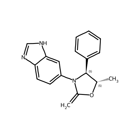 C=C1O[C@@H](C)[C@H](c2ccccc2)N1c1ccc2nc[nH]c2c1